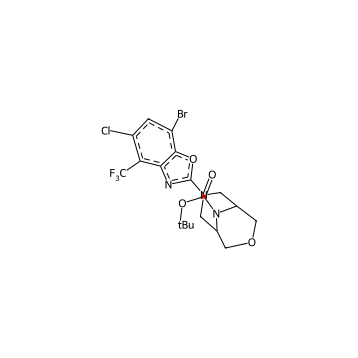 CC(C)(C)OC(=O)N1C2COCC1CN(c1nc3c(C(F)(F)F)c(Cl)cc(Br)c3o1)C2